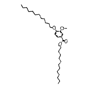 CCCCCCCCCCCCOC(=O)c1ccc(OCCCCCCCCCCCC)c(OC)c1